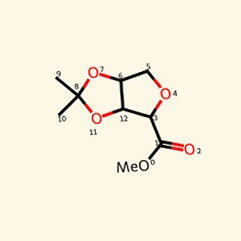 COC(=O)C1OCC2OC(C)(C)OC21